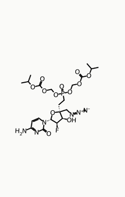 CC(C)OC(=O)OCOP(=O)(CC[C@@]1(CN=[N+]=[N-])O[C@@H](n2ccc(N)nc2=O)[C@H](F)[C@@H]1O)OCOC(=O)OC(C)C